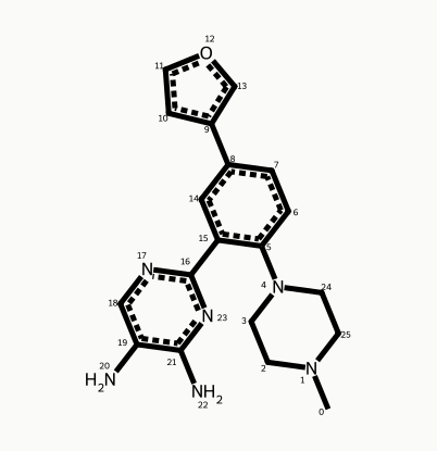 CN1CCN(c2ccc(-c3ccoc3)cc2-c2ncc(N)c(N)n2)CC1